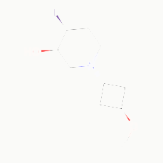 CO[C@H]1C[C@H](N2CC[C@H](I)[C@H](O)C2)C1